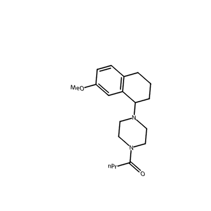 CCCC(=O)N1CCN(C2CCCc3ccc(OC)cc32)CC1